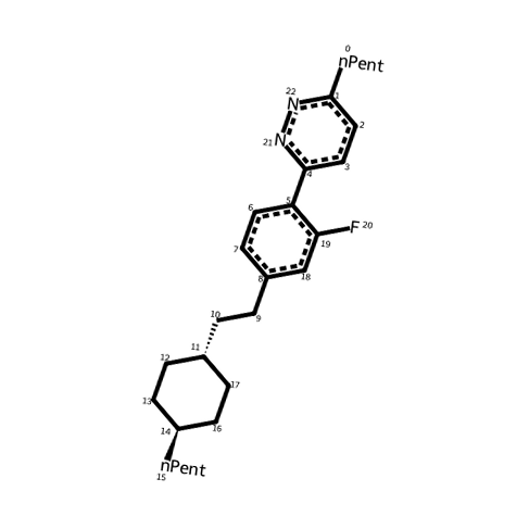 CCCCCc1ccc(-c2ccc(CC[C@H]3CC[C@H](CCCCC)CC3)cc2F)nn1